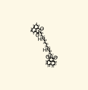 O=C1c2cccc3cccc(c23)C(=O)N1CCCNCCCCCNCCCN1C(=O)c2cccc3cccc(c23)C1=O